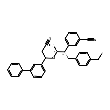 C[C@H](NC(CC#N)c1cccc(-c2ccccc2)c1)[C@@H](Cc1ccc(CI)cc1)c1cccc(C#N)c1